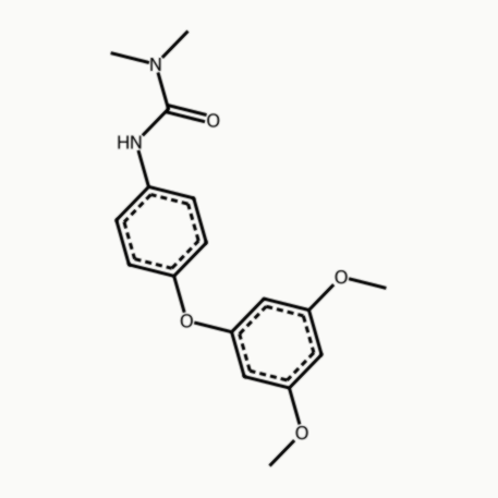 COc1cc(OC)cc(Oc2ccc(NC(=O)N(C)C)cc2)c1